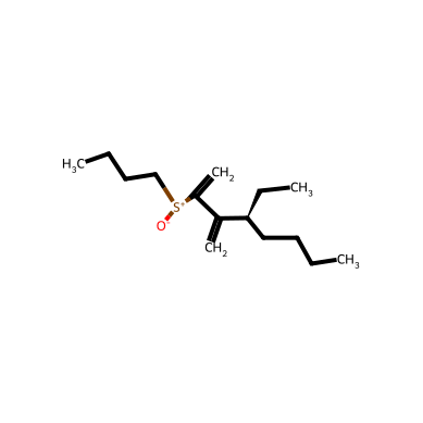 C=C(C(=C)[S+]([O-])CCCC)[C@@H](CC)CCCC